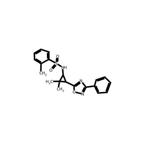 Cc1ccccc1S(=O)(=O)NC1C(c2nc(-c3ccccc3)no2)C1(C)C